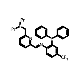 CC(C)P(Cc1cccc(C=Nc2ccc(C(F)(F)F)cc2P(c2ccccc2)c2ccccc2)n1)C(C)C